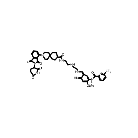 COC1=CC(=N)/C(=C\NCCNCCNC(=O)C2CCC3(CC2)CCN(c2cccc4c2C(=O)N(C2CCC(=O)NC2=O)C4=O)CC3)C=C1NC(=O)c1cccc(C(F)(F)F)n1